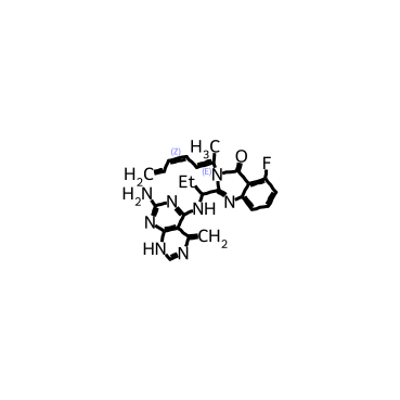 C=C/C=C\C=C(/C)n1c(C(CC)Nc2nc(N)nc3c2C(=C)N=CN3)nc2cccc(F)c2c1=O